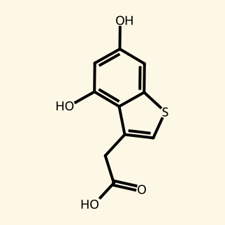 O=C(O)Cc1csc2cc(O)cc(O)c12